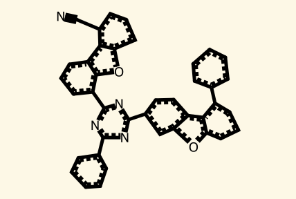 N#Cc1cccc2oc3c(-c4nc(-c5ccccc5)nc(-c5ccc6c(c5)oc5cccc(-c7ccccc7)c56)n4)cccc3c12